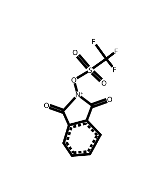 O=C1c2ccccc2C(=O)[N+]1OS(=O)(=O)C(F)(F)F